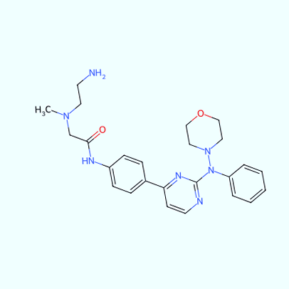 CN(CCN)CC(=O)Nc1ccc(-c2ccnc(N(c3ccccc3)N3CCOCC3)n2)cc1